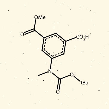 COC(=O)c1cc(C(=O)O)cc(N(C)C(=O)OC(C)(C)C)c1